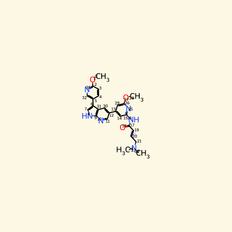 COc1ccc(-c2c[nH]c3ncc(-c4cc(NC(=O)/C=C/CN(C)C)nc(OC)c4)cc23)cn1